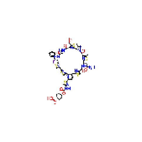 CNC(=O)C[C@@H]1NC(=O)c2csc(n2)-c2ccc(-c3nc(NC(=O)O[C@H]4CC[C@@H](C(=O)O)CC4)cs3)nc2-c2csc(n2)-c2csc(n2)[C@H]([C@@H](I)c2ccccc2)NC(=O)CNC(=O)c2nc(sc2COC)[C@H](C(C)C)NC(=O)c2nc1sc2C